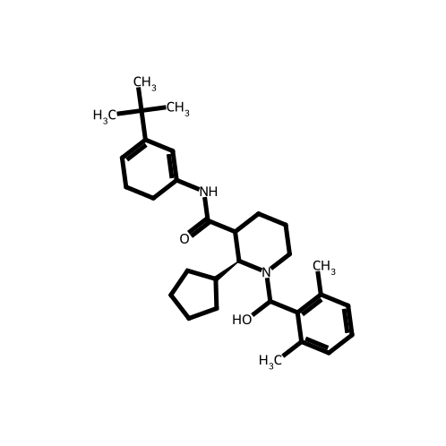 Cc1cccc(C)c1C(O)N1CCCC(C(=O)NC2=CC(C(C)(C)C)=CCC2)[C@@H]1C1CCCC1